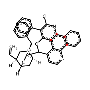 C=C[C@H]1C[N@+]2(Cc3ccccc3)CC[C@H]1C[C@@H]2C(Oc1nc(-c2ccccc2)nc(Cl)c1-c1ccccc1)c1ccnc2ccccc12